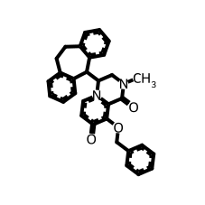 CN1CC(C2c3ccccc3CCc3ccccc32)n2ccc(=O)c(OCc3ccccc3)c2C1=O